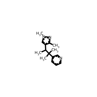 Cc1nn(C)cc1C(C)C(C)(C)c1cccnc1